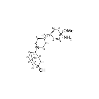 COC1(N)C=CC(NC2CCN(C3C4CC5CC3CC(O)(C5)C4)CC2)=CC1